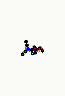 c1ccc(-c2ccc(-c3nc(-c4ccc(-c5ccccc5)cc4)nc(-c4cc(-c5ccccc5)c(-n5c6ccccc6c6c7oc8c(ccc9sc%10ccccc%10c98)c7ccc65)c(-c5ccccc5)c4)n3)cc2)cc1